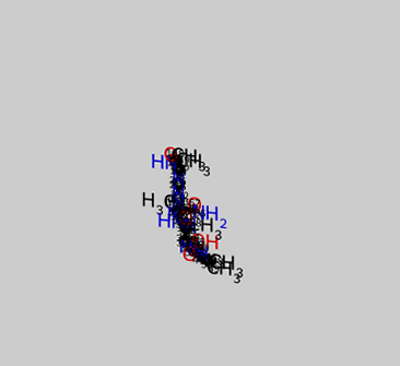 C[C@H]1CN(C2CCN(c3ccc4c(c3)NC(=O)C4(C)C)CC2)CCN1c1cnc(Nc2cc(-c3ccnc(N4CCn5c(cc6c5CC(C)(C)C6)C4=O)c3CO)cn(C)c2=O)cc1C=CC(N)=O